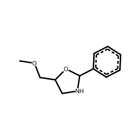 COCC1CNC(c2ccccc2)O1